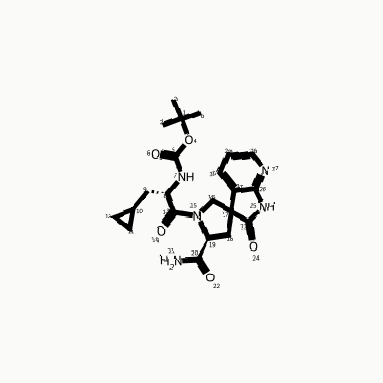 CC(C)(C)OC(=O)N[C@@H](CC1CC1)C(=O)N1CC2(C[C@H]1C(N)=O)C(=O)Nc1ncccc12